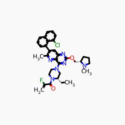 C=C(F)C(=O)N1CCN(c2nc(OC[C@@H]3CCCN3C)nc3cc(-c4cccc5cccc(Cl)c45)c(C)nc23)C[C@@H]1CC